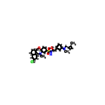 C[C@@H]1CC[C@H]1CN(C)c1cccc(CC(=O)NS(=O)(=O)c2ccc3c(c2)N(C)C[C@@]2(CCCc4cc(Cl)ccc42)CO3)c1